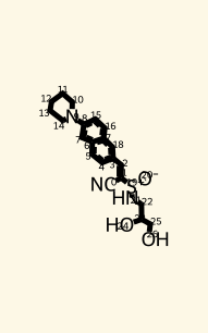 N#C/C(=C\c1ccc2cc(N3CCCCC3)ccc2c1)[S+]([O-])NCC(O)CO